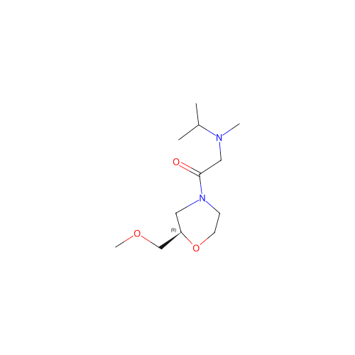 COC[C@H]1CN(C(=O)CN(C)C(C)C)CCO1